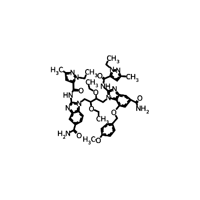 CCOC(Cn1c(NC(=O)c2cc(C)nn2CC)nc2cc(C(N)=O)ccc21)C(Cn1c(NC(=O)c2cc(C)nn2CC)nc2cc(C(N)=O)cc(OCc3ccc(OC)cc3)c21)OCC